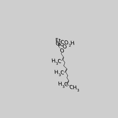 CCOP(=O)(COC/C=C(\C)CC/C=C(\C)CCC=C(C)C)C(=O)O